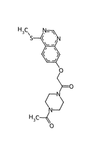 CSc1ncnc2cc(OCC(=O)N3CCN(C(C)=O)CC3)ccc12